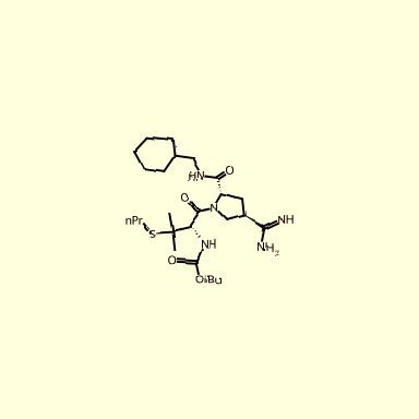 CCCSC(C)(C)[C@@H](NC(=O)OCC(C)C)C(=O)N1C[C@H](C(=N)N)C[C@H]1C(=O)NCC1CCCCC1